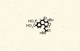 CCCCC(CC)CC(CC)Cc1ccc(C(=O)O)c(C(=O)O)c1CC(CC)CC(CC)CCCC